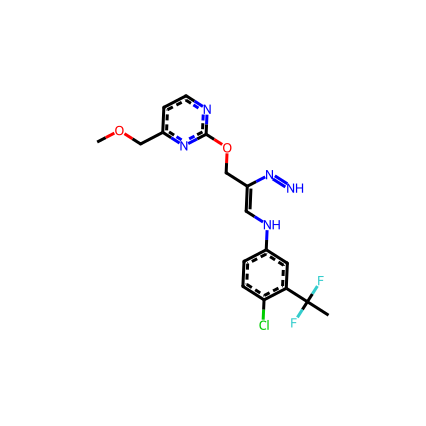 COCc1ccnc(OC/C(=C/Nc2ccc(Cl)c(C(C)(F)F)c2)N=N)n1